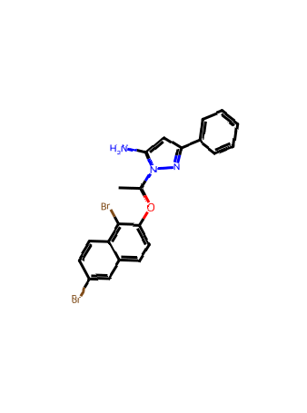 CC(Oc1ccc2cc(Br)ccc2c1Br)n1nc(-c2ccccc2)cc1N